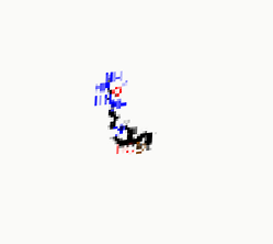 NNC(=O)NNCCCN1CCC(O)(c2cccs2)CC1